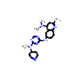 Cc1cc(N(C)C)c2cc(Nc3ncnc(N(C)c4ccncc4)n3)ccc2n1